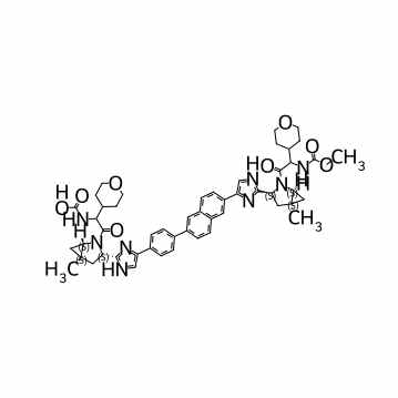 COC(=O)NC(C(=O)N1[C@H]2C[C@@]2(C)C[C@H]1c1nc(-c2ccc3cc(-c4ccc(-c5c[nH]c([C@@H]6C[C@]7(C)C[C@@H]7N6C(=O)C(NC(=O)O)C6CCOCC6)n5)cc4)ccc3c2)c[nH]1)C1CCOCC1